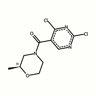 C[C@H]1CN(C(=O)c2cnc(Cl)nc2Cl)CCO1